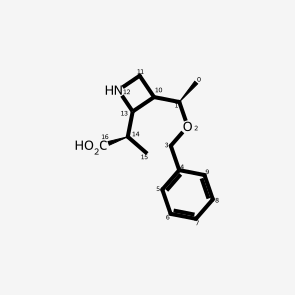 C[C@@H](OCc1ccccc1)C1CNC1[C@@H](C)C(=O)O